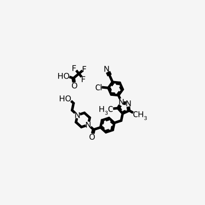 Cc1nn(-c2ccc(C#N)c(Cl)c2)c(C)c1Cc1ccc(C(=O)N2CCN(CCO)CC2)cc1.O=C(O)C(F)(F)F